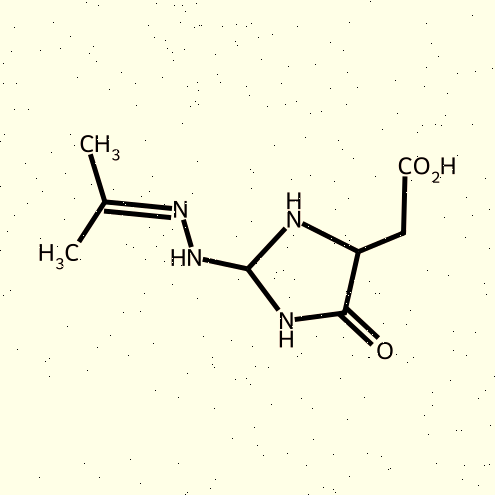 CC(C)=NNC1NC(=O)C(CC(=O)O)N1